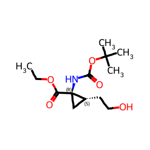 CCOC(=O)[C@@]1(NC(=O)OC(C)(C)C)C[C@H]1CCO